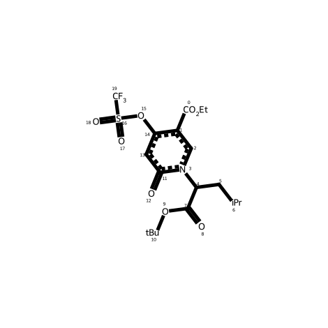 CCOC(=O)c1cn(C(CC(C)C)C(=O)OC(C)(C)C)c(=O)cc1OS(=O)(=O)C(F)(F)F